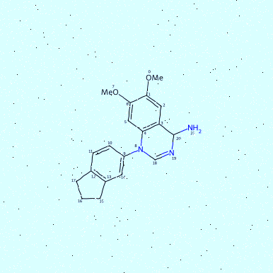 COc1cc2c(cc1OC)N(c1ccc3c(c1)CCC3)C=NC2N